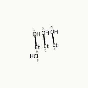 CCO.CCO.CCO.Cl